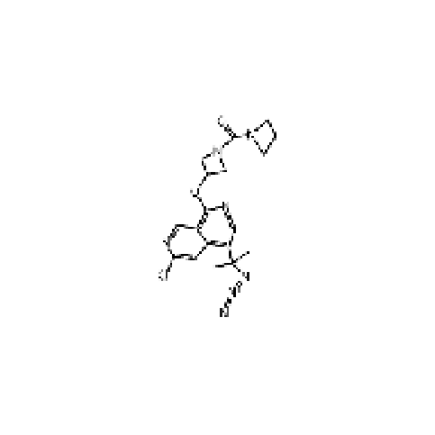 CC(C)(N=[N+]=[N-])c1cnc(OC2CN(C(=O)N3CCC3)C2)c2cnc(Cl)cc12